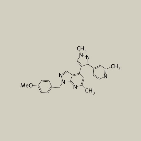 COc1ccc(Cn2ncc3c(-c4cn(C)nc4-c4ccnc(C)c4)cc(C)nc32)cc1